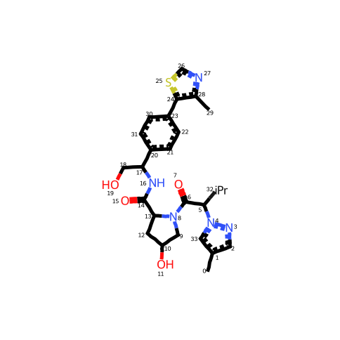 Cc1cnn(C(C(=O)N2CC(O)CC2C(=O)NC(CO)c2ccc(-c3scnc3C)cc2)C(C)C)c1